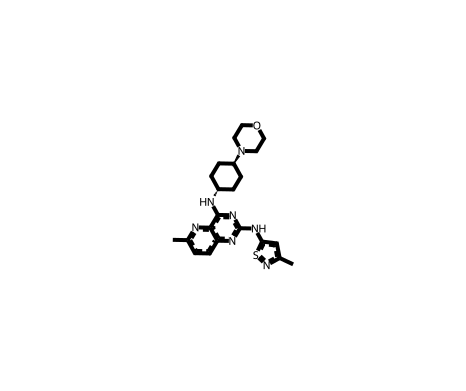 Cc1cc(Nc2nc(N[C@H]3CC[C@H](N4CCOCC4)CC3)c3nc(C)ccc3n2)sn1